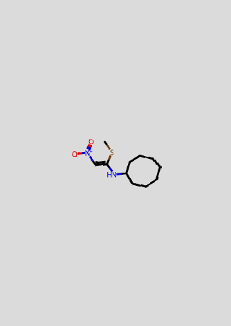 CS/C(=C\[N+](=O)[O-])NC1CCCCCCC1